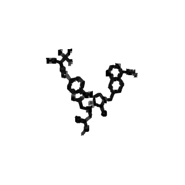 COC(=O)CN(Cc1cc2cc(Cl)ccc2[nH]1)[C@@H]1CCN(Cc2ccc3c(N)ncnc3c2)C1=O.O=C(O)C(F)(F)F